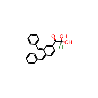 O=C(c1ccc(=Cc2ccccc2)c(=Cc2ccccc2)c1)C(O)(O)Cl